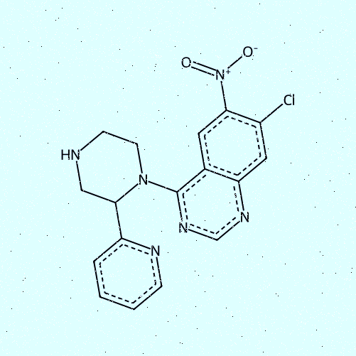 O=[N+]([O-])c1cc2c(N3CCNCC3c3ccccn3)ncnc2cc1Cl